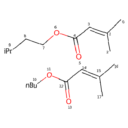 CC(C)=CC(=O)OCCC(C)C.CCCCOC(=O)C=C(C)C